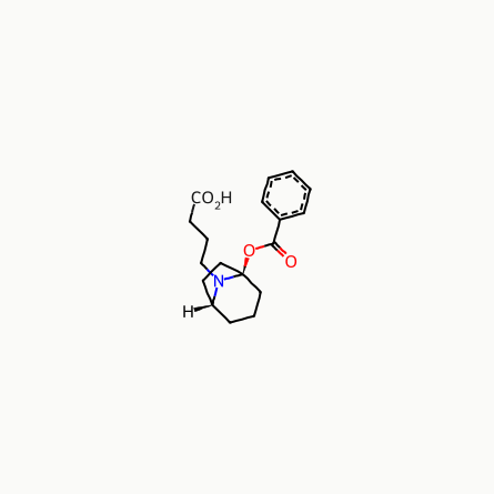 O=C(O)CCCN1[C@@H]2CCC[C@@]1(OC(=O)c1ccccc1)CC2